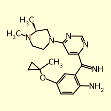 C[C@H]1CN(c2cc(C(=N)c3cc(OC4(C)CC4)ccc3N)ncn2)CCN1C